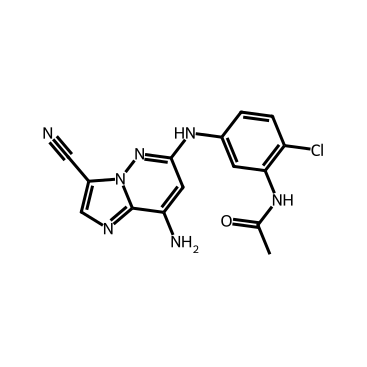 CC(=O)Nc1cc(Nc2cc(N)c3ncc(C#N)n3n2)ccc1Cl